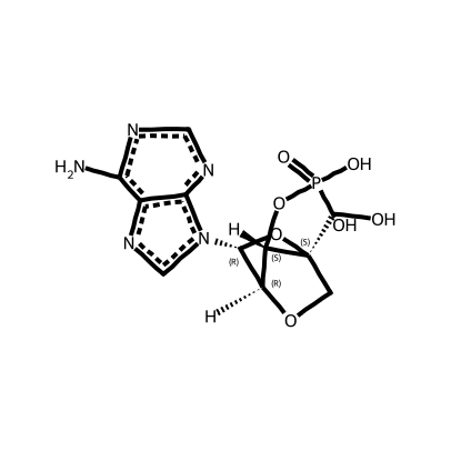 Nc1ncnc2c1ncn2[C@@H]1O[C@@]2(CO)CO[C@@H]1[C@@H]2OP(=O)(O)O